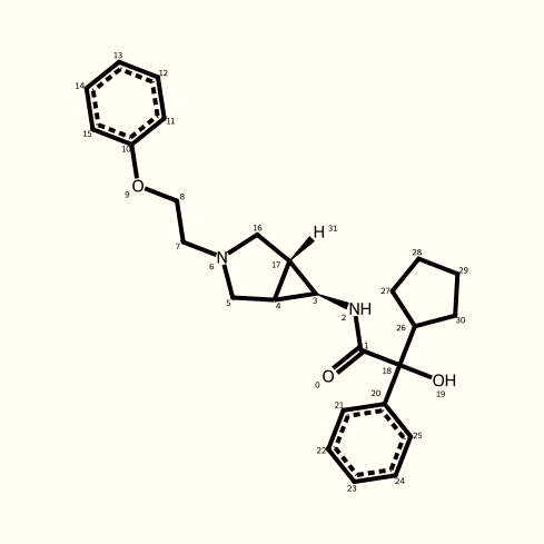 O=C(N[C@H]1C2CN(CCOc3ccccc3)C[C@@H]21)C(O)(c1ccccc1)C1CCCC1